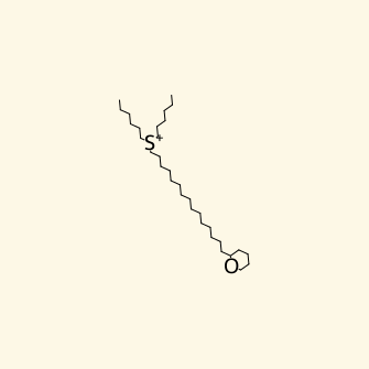 CCCCCC[S+](CCCCCC)CCCCCCCCCCCCCCCC1CCCCO1